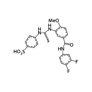 COc1ccc(C(=O)Nc2ccc(F)c(F)c2)cc1NC(=S)Nc1ccc(S(=O)(=O)O)cc1